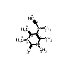 C#CN(C)C1=C(N)N(C)C(=O)N(C)C1=C